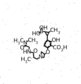 CC1C(B(O)O)C1c1ccc(OC2CN(C[C@H](C)C(=O)NCC(=O)N(C)C)C2)c(C(=O)O)c1O